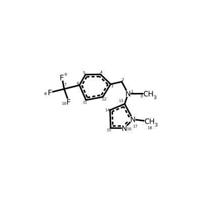 CN(Cc1ccc(C(F)(F)F)cc1)c1ccnn1C